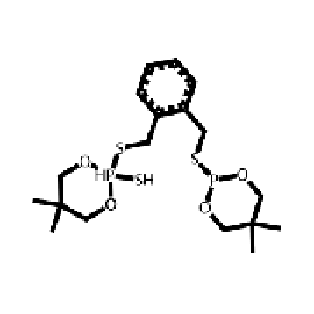 CC1(C)COP(SCc2ccccc2CS[PH]2(S)OCC(C)(C)CO2)OC1